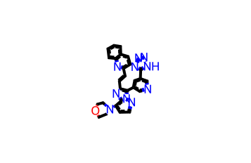 C(=Cc1nc2c(N3CCOCC3)ccnn2c1-c1cncc(-c2nnn[nH]2)c1)c1ccc2ccccc2n1